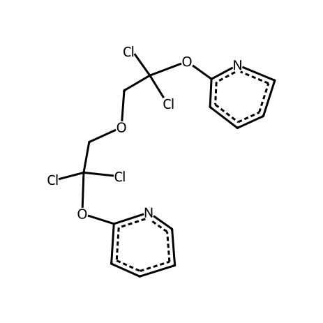 ClC(Cl)(COCC(Cl)(Cl)Oc1ccccn1)Oc1ccccn1